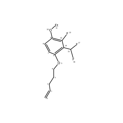 C=CCCCOc1ccc(OCC)c(F)c1C(F)F